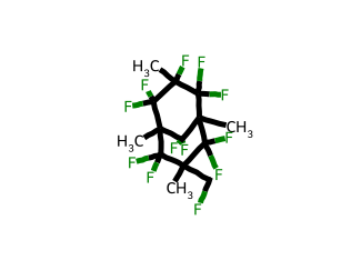 CC1(F)C(F)(F)C2(C)C(F)(F)C(C)(CF)C(F)(F)C(C)(C1(F)F)C2(F)F